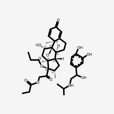 CC(C)NCC(O)c1ccc(O)c(O)c1.CCC(=O)OCC(=O)[C@@]1(OC(=O)CC)[C@@H](C)C[C@H]2[C@@H]3CCC4=CC(=O)C=C[C@]4(C)[C@@]3(Cl)[C@@H](O)C[C@@]21C